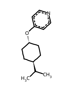 CC(C)[C@H]1CC[C@H](Oc2ccncc2)CC1